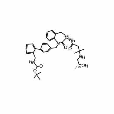 C[C@@H](O)CNC(C)(C)CC(=O)N[C@@H]1CCc2ccccc2N(Cc2ccc(-c3ccccc3CNC(=O)OC(C)(C)C)cc2)C1=O